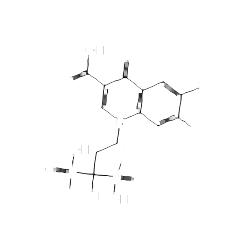 O=C(O)c1cn(CCC(O)(P(=O)(O)O)P(=O)(O)O)c2cc(Cl)c(F)cc2c1=O